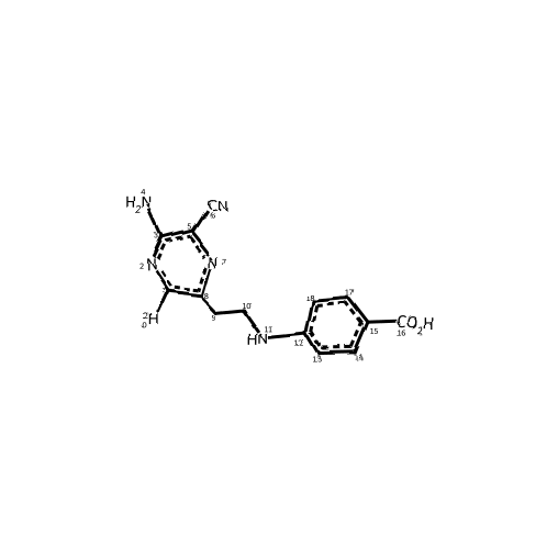 [2H]c1nc(N)c(C#N)nc1CCNc1ccc(C(=O)O)cc1